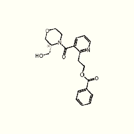 O=C(OCCc1ncccc1C(=O)N1CCOC[C@H]1CO)c1ccccc1